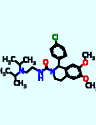 COc1cc2c(cc1OC)C(c1ccc(Cl)cc1)N(C(=O)NCCN(C(C)C)C(C)C)CC2